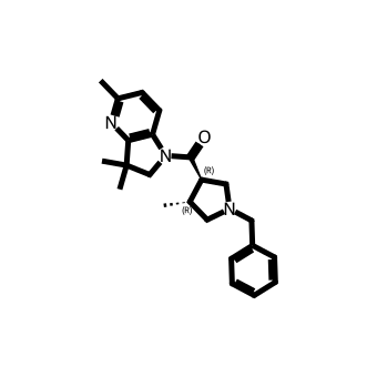 Cc1ccc2c(n1)C(C)(C)CN2C(=O)[C@H]1CN(Cc2ccccc2)C[C@@H]1C